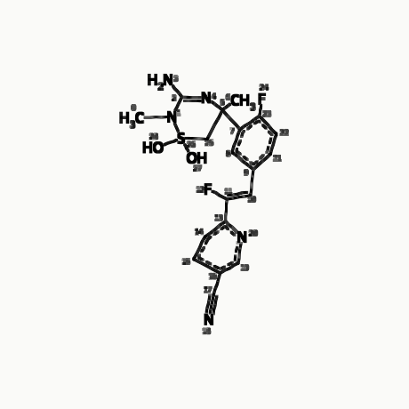 CN1C(N)=NC(C)(c2cc(C=C(F)c3ccc(C#N)cn3)ccc2F)CS1(O)O